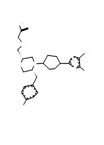 COC(=O)COC[C@H]1CN(C2CCC(c3nc(C)c(C)s3)CC2)[C@@H](Cc2ccc(Cl)cc2)CO1